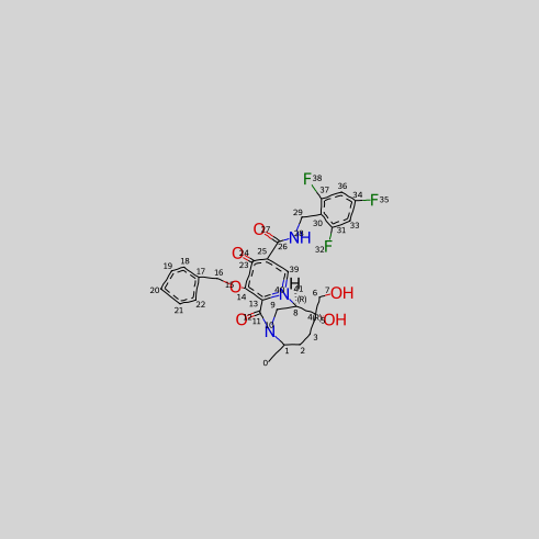 CC1CC[C@](O)(CO)[C@H]2CN1C(=O)c1c(OCc3ccccc3)c(=O)c(C(=O)NCc3c(F)cc(F)cc3F)cn12